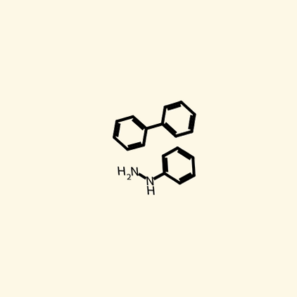 NNc1ccccc1.c1ccc(-c2ccccc2)cc1